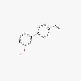 C=Cc1ccc(-c2cccc(OCC)c2)cc1